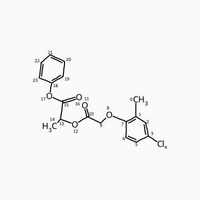 Cc1cc(Cl)ccc1OCC(=O)OC(C)C(=O)Oc1ccccc1